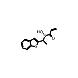 C=CC(=O)N(O)C(C)c1cc2ccccc2s1